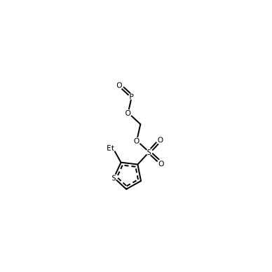 CCc1sccc1S(=O)(=O)OCOP=O